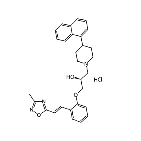 Cc1noc(C=Cc2ccccc2OC[C@@H](O)CN2CCC(c3cccc4ccccc34)CC2)n1.Cl